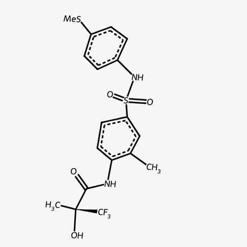 CSc1ccc(NS(=O)(=O)c2ccc(NC(=O)[C@@](C)(O)C(F)(F)F)c(C)c2)cc1